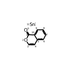 O=c1occc2ccccc12.[Sn]